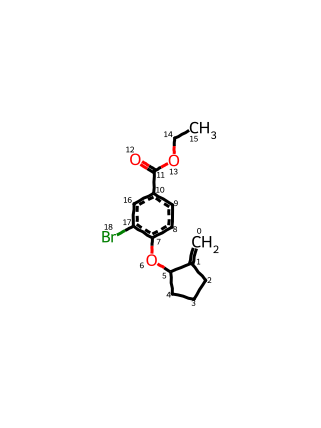 C=C1CCCC1Oc1ccc(C(=O)OCC)cc1Br